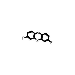 Fc1ccc2c(c1)Sc1cc(F)ccc1S2